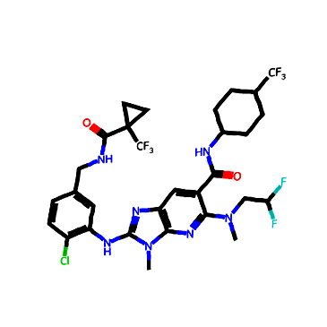 CN(CC(F)F)c1nc2c(cc1C(=O)NC1CCC(C(F)(F)F)CC1)nc(Nc1cc(CNC(=O)C3(C(F)(F)F)CC3)ccc1Cl)n2C